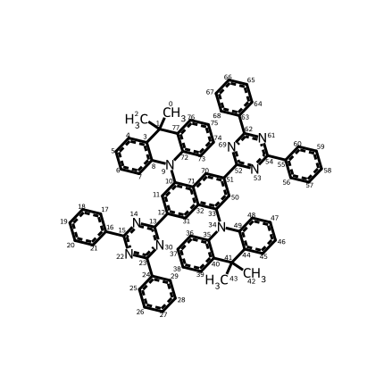 CC1(C)c2ccccc2N(c2cc(-c3nc(-c4ccccc4)nc(-c4ccccc4)n3)cc3c(N4c5ccccc5C(C)(C)c5ccccc54)cc(-c4nc(-c5ccccc5)nc(-c5ccccc5)n4)cc23)c2ccccc21